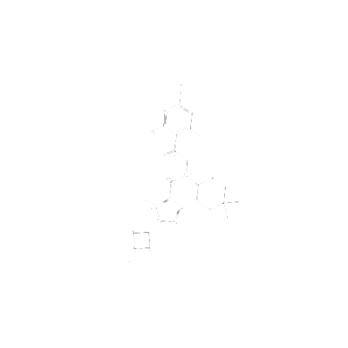 CC1(C)CCC(N(CC(=O)c2c(Cl)cc(F)cc2Cl)C(=O)c2cnn([C@H]3C[C@@H](C(=O)O)C3)c2C(F)(F)F)CC1